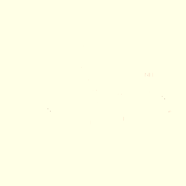 CC1=CCC[C@H]1NC(=O)Nc1ccc(Cl)c(S(=O)(=O)C2CCN(CC(F)F)CC2)c1OC(=O)C(F)(F)F